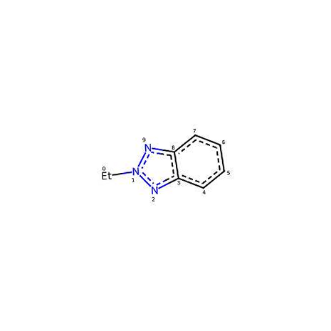 [CH2]Cn1nc2ccccc2n1